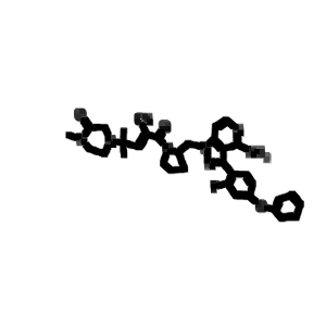 CN1CCN(C(C)(C)C=C(C#N)C(=O)N2CCCC2Cn2nc(-c3ccc(Oc4ccccc4)cc3F)c3c(N)nccc32)CC1=O